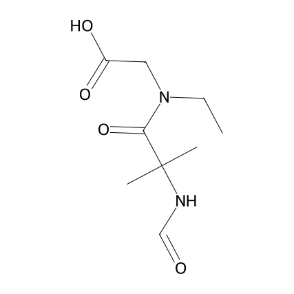 CCN(CC(=O)O)C(=O)C(C)(C)NC=O